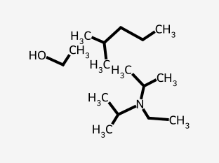 CCCC(C)C.CCN(C(C)C)C(C)C.CCO